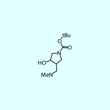 CNCC1CN(C(=O)OC(C)(C)C)CC1O